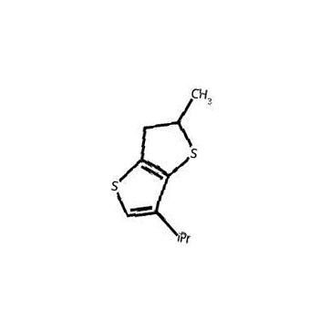 CC1Cc2scc(C(C)C)c2S1